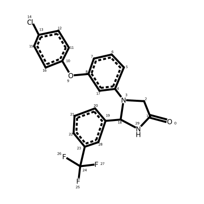 O=C1CN(c2cccc(Oc3ccc(Cl)cc3)c2)C(c2cccc(C(F)(F)F)c2)N1